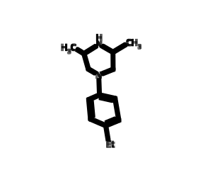 CCc1ccc(N2CC(C)NC(C)C2)cc1